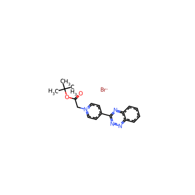 CC(C)(C)OC(=O)C[n+]1ccc(-c2nnc3ccccc3n2)cc1.[Br-]